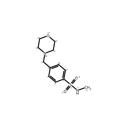 CNS(=O)(=O)c1ccc(CN2CCOCC2)cc1